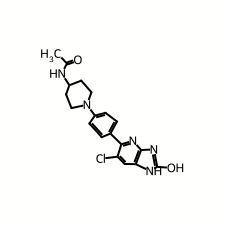 CC(=O)NC1CCN(c2ccc(-c3nc4nc(O)[nH]c4cc3Cl)cc2)CC1